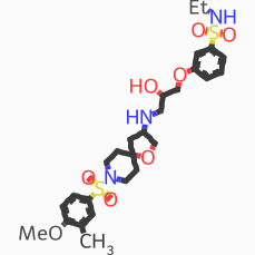 CCNS(=O)(=O)c1cccc(OCC(O)CNC2COC3(CCN(S(=O)(=O)c4ccc(OC)c(C)c4)CC3)C2)c1